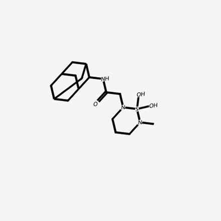 CN1CCCN(CC(=O)NC2C3CC4CC(C3)CC2C4)S1(O)O